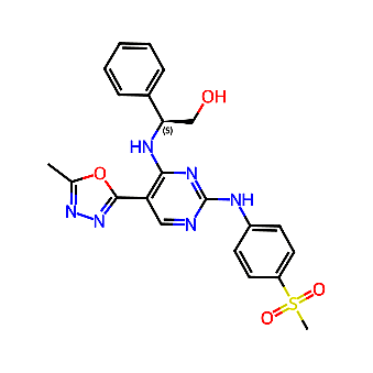 Cc1nnc(-c2cnc(Nc3ccc(S(C)(=O)=O)cc3)nc2N[C@H](CO)c2ccccc2)o1